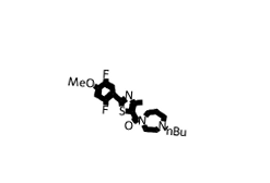 CCCCN1CCCN(C(=O)c2sc(-c3cc(F)c(OC)cc3F)nc2C)CC1